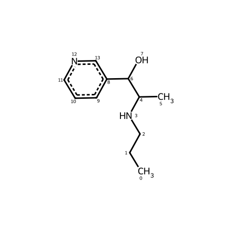 CCCNC(C)C(O)c1cccnc1